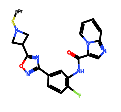 CCCSN1CC(c2nc(-c3ccc(F)c(NC(=O)c4cnc5ccccn45)c3)no2)C1